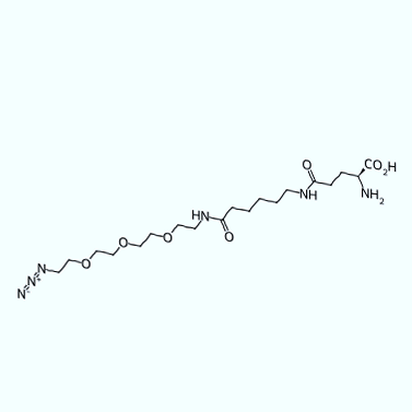 [N-]=[N+]=NCCOCCOCCOCCNC(=O)CCCCCNC(=O)CC[C@H](N)C(=O)O